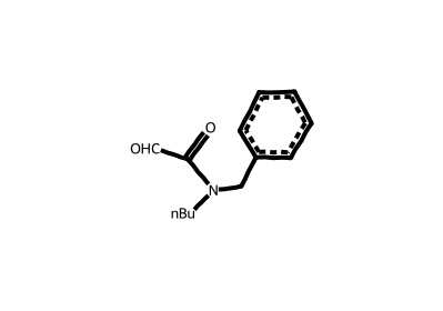 CCCCN(Cc1ccccc1)C(=O)C=O